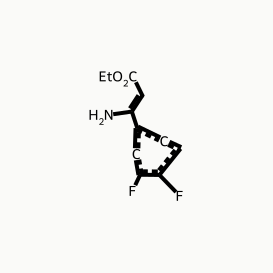 CCOC(=O)C=C(N)c1ccc(F)c(F)c1